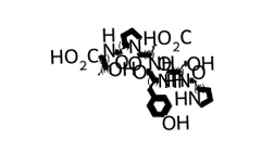 C[C@@H](O)[C@H](NC(=O)[C@@H]1CCCN1C(=O)[C@H](CC(=O)O)NC(=O)[C@H](Cc1ccc(O)cc1)NC(=O)[C@H](CO)NC(=O)[C@@H]1CCCN1)C(=O)O